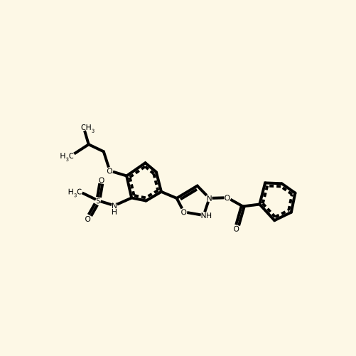 CC(C)COc1ccc(C2=CN(OC(=O)c3ccccc3)NO2)cc1NS(C)(=O)=O